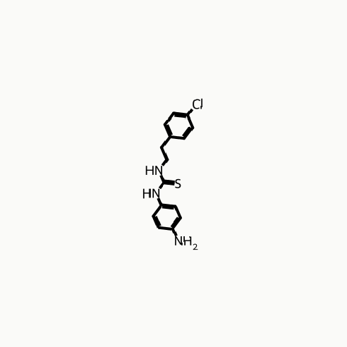 Nc1ccc(NC(=S)NCCc2ccc(Cl)cc2)cc1